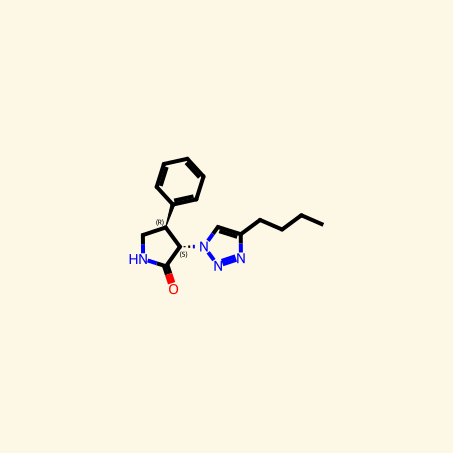 CCCCc1cn([C@@H]2C(=O)NC[C@H]2c2ccccc2)nn1